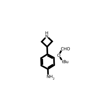 CC(C)(C)OC=O.Nc1ccc(C2CNC2)cc1